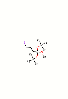 CCO[Si](CCCI)(O[Si](CC)(CC)CC)O[Si](CC)(CC)CC